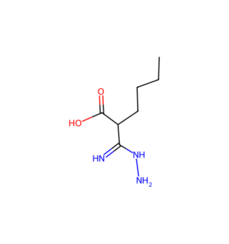 CCCCC(C(=N)NN)C(=O)O